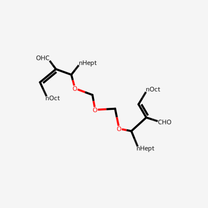 CCCCCCCCC=C(C=O)C(CCCCCCC)OCOCOC(CCCCCCC)C(C=O)=CCCCCCCCC